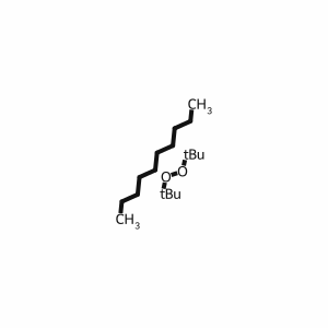 CC(C)(C)OOC(C)(C)C.CCCCCCCCCC